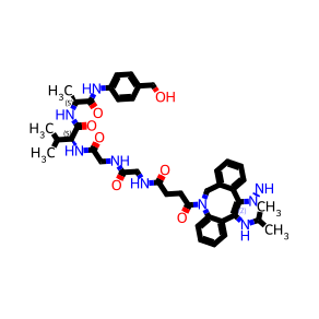 CC(C)N/C1=C(\N=N)c2ccccc2CN(C(=O)CCC(=O)NCC(=O)NCC(=O)N[C@H](C(=O)N[C@@H](C)C(=O)Nc2ccc(CO)cc2)C(C)C)c2ccccc21